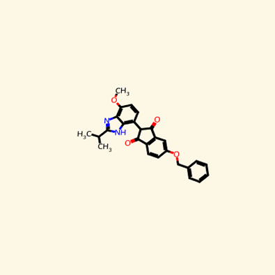 COc1ccc(C2C(=O)c3ccc(OCc4ccccc4)cc3C2=O)c2[nH]c(C(C)C)nc12